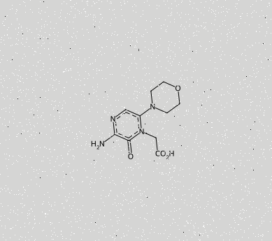 Nc1ncc(N2CCOCC2)n(CC(=O)O)c1=O